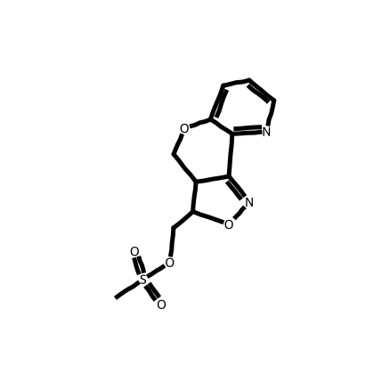 CS(=O)(=O)OCC1ON=C2c3ncccc3OCC21